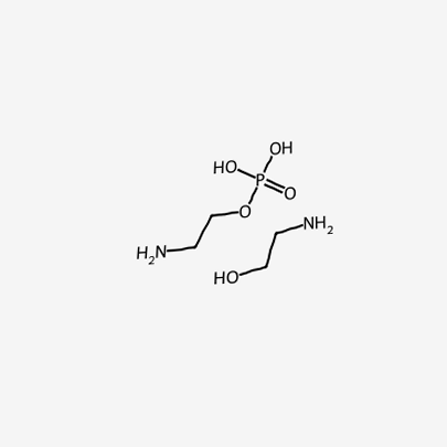 NCCO.NCCOP(=O)(O)O